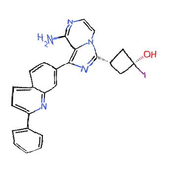 Nc1nccn2c1c(-c1ccc3ccc(-c4ccccc4)nc3c1)nc2[C@H]1C[C@](O)(I)C1